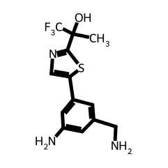 CC(O)(c1ncc(-c2cc(N)cc(CN)c2)s1)C(F)(F)F